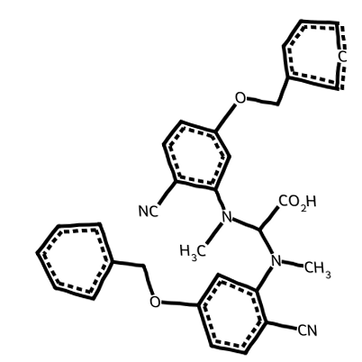 CN(c1cc(OCc2ccccc2)ccc1C#N)C(C(=O)O)N(C)c1cc(OCc2ccccc2)ccc1C#N